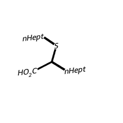 CCCCCCCSC(CCCCCCC)C(=O)O